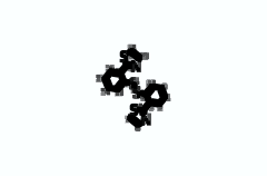 c1ccc(-c2nccs2)c(SSc2ccccc2-c2nccs2)c1